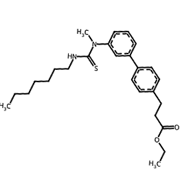 CCCCCCCNC(=S)N(C)c1cccc(-c2ccc(CCC(=O)OCC)cc2)c1